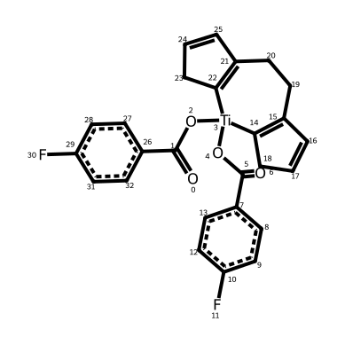 O=C([O][Ti]1([O]C(=O)c2ccc(F)cc2)[C]2=C(C=CC2)CCC2=[C]1CC=C2)c1ccc(F)cc1